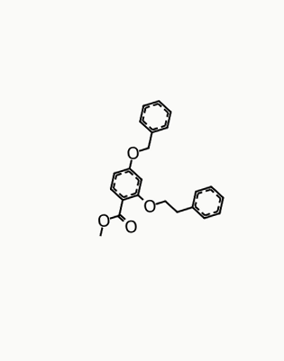 COC(=O)c1ccc(OCc2ccccc2)cc1OCCc1ccccc1